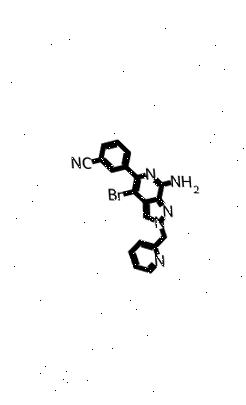 N#Cc1cccc(-c2nc(N)c3nn(Cc4ccccn4)cc3c2Br)c1